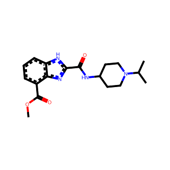 COC(=O)c1cccc2[nH]c(C(=O)NC3CCN(C(C)C)CC3)nc12